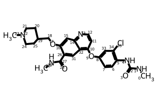 CNC(=O)Nc1ccc(Oc2ccnc3cc(OCC4CCN(C)CC4)c(C(=O)NC)cc23)cc1Cl